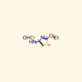 CCOc1nc(NC=O)cs1